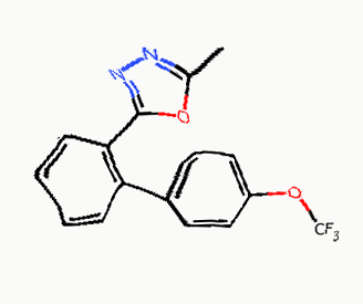 Cc1nnc(-c2[c]cccc2-c2ccc(OC(F)(F)F)cc2)o1